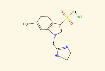 Cc1ccc2c(S(C)(=O)=O)cn(CC3=NCCN3)c2c1.Cl